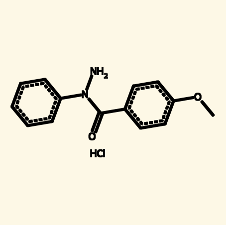 COc1ccc(C(=O)N(N)c2ccccc2)cc1.Cl